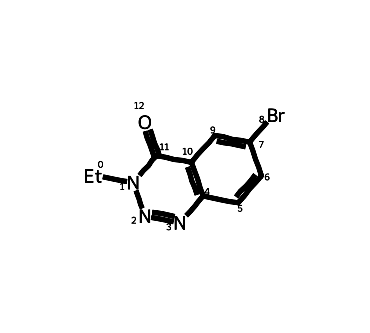 CCn1nnc2ccc(Br)cc2c1=O